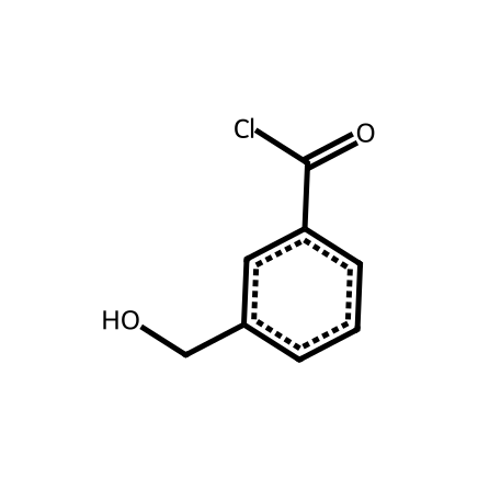 O=C(Cl)c1cccc(CO)c1